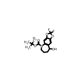 CC(C)(C)OC(=O)N1CCCC(O)c2cc3c(cc21)OC(F)(F)O3